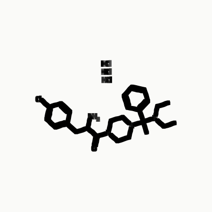 CCN(CC)C(C)(c1ccccc1)N1CCN(C(=O)C(N)Cc2ccc(Cl)cc2)CC1.Cl.Cl.Cl